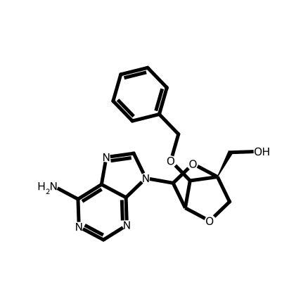 Nc1ncnc2c1ncn2C1O[C@]2(CO)COC1C2OCc1ccccc1